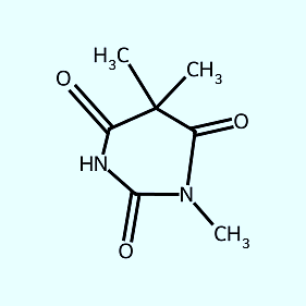 CN1C(=O)NC(=O)C(C)(C)C1=O